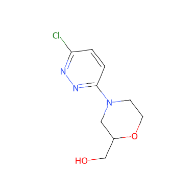 OCC1CN(c2ccc(Cl)nn2)CCO1